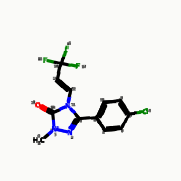 C[N+]1N=C(c2ccc(Cl)cc2)N(/C=C/C(F)(F)F)C1=O